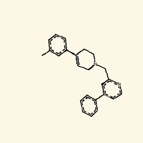 Cc1cccc(C2=CCN(Cc3cc(-c4ccccc4)ccn3)CC2)c1